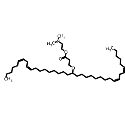 CCCCC/C=C\C/C=C\CCCCCCCCC(CCCCCCCC/C=C\C/C=C\CCCCC)OCCC(=O)OCCN(C)C